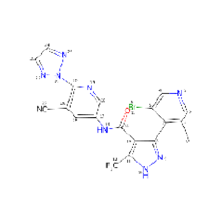 Cc1cncc(Br)c1-c1n[nH]c(C(F)(F)F)c1C(=O)Nc1cnc(-n2nccn2)c(C#N)c1